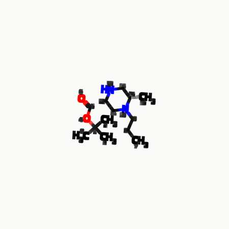 CC(C)(C)OC=O.CCCN1CCNC[C@@H]1C